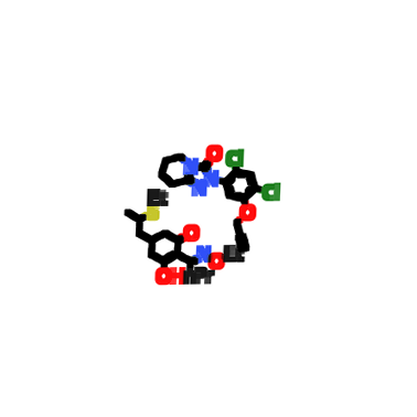 C#CCOc1cc(-n2nc3n(c2=O)CCCC3)c(Cl)cc1Cl.CCCC(=NOCC)C1=C(O)CC(CC(C)SCC)CC1=O